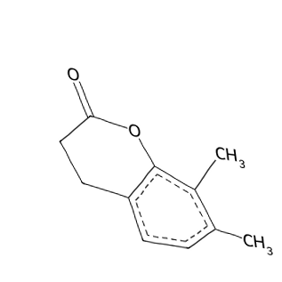 Cc1ccc2c(c1C)OC(=O)CC2